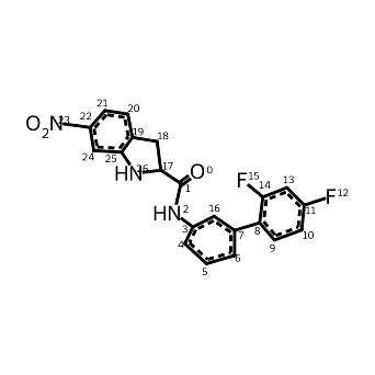 O=C(Nc1cccc(-c2ccc(F)cc2F)c1)C1Cc2ccc([N+](=O)[O-])cc2N1